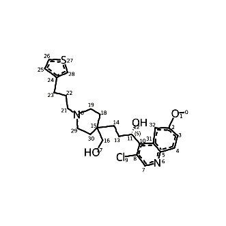 COc1ccc2ncc(Cl)c([C@@H](O)CCC3(CO)CCN(CCCc4ccsc4)CC3)c2c1